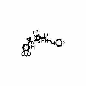 CCCc1nc(NC2(c3ccc4c(c3)OCO4)CC2)sc1C(=O)NCCN1CCOCC1